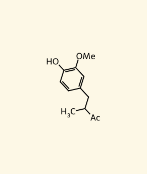 COc1cc(CC(C)C(C)=O)ccc1O